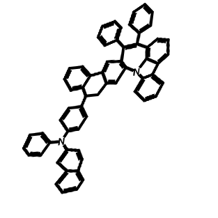 c1ccc(C2=C(c3ccccc3)c3cccc4c5ccccc5n(c34)-c3cc4c(cc32)-c2ccccc2C(c2ccc(N(c3ccccc3)c3ccc5ccccc5c3)cc2)C4)cc1